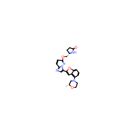 C[C@@H]1CN(c2cccc3oc(-c4cnc5ccc(OC[C@@H]6CCC(=O)N6)nn45)cc23)CCO1